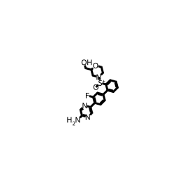 Nc1cnc(-c2ccc(-c3ccccc3[S+]([O-])N3CCOC(CO)C3)cc2F)cn1